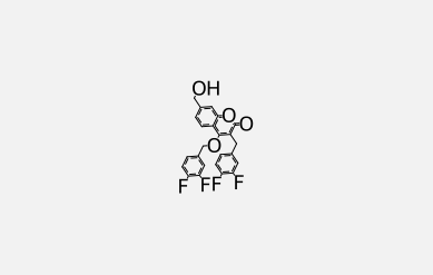 O=c1oc2cc(CO)ccc2c(OCc2ccc(F)c(F)c2)c1Cc1ccc(F)c(F)c1